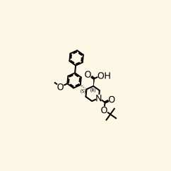 COc1cc(-c2ccccc2)cc([C@H]2CCN(C(=O)OC(C)(C)C)C[C@@H]2C(=O)O)c1